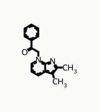 Cc1nc2n(CC(=O)c3ccccc3)cccc-2c1C